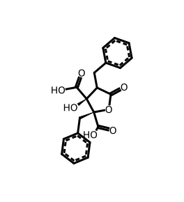 O=C1O[C@](Cc2ccccc2)(C(=O)O)[C@](O)(C(=O)O)C1Cc1ccccc1